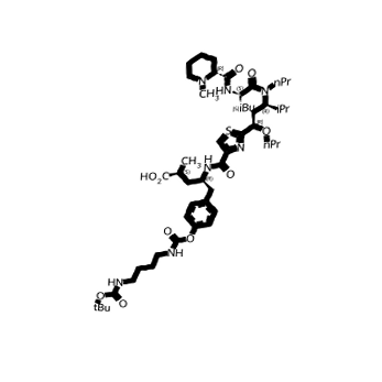 CCCO[C@H](C[C@H](C(C)C)N(CCC)C(=O)[C@@H](NC(=O)[C@H]1CCCCN1C)[C@@H](C)CC)c1nc(C(=O)N[C@@H](Cc2ccc(OC(=O)NCCCCNC(=O)OC(C)(C)C)cc2)C[C@H](C)C(=O)O)cs1